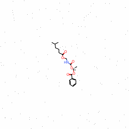 CC(C)CCCC(=O)OCNC(=O)O[C@@H](C)OC(=O)c1ccccc1